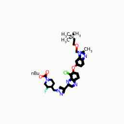 CCCCOC(=O)N1CCC(Cn2cc(-c3cnc4ccc(Oc5ccc6nc(C)n(COCC[Si](C)(C)C)c6c5)c(Cl)c4n3)cn2)C(F)C1